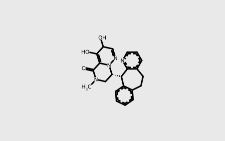 CN1C[C@@H](C2c3ccccc3CCc3cccnc32)N2N=CC(O)C(O)=C2C1=O